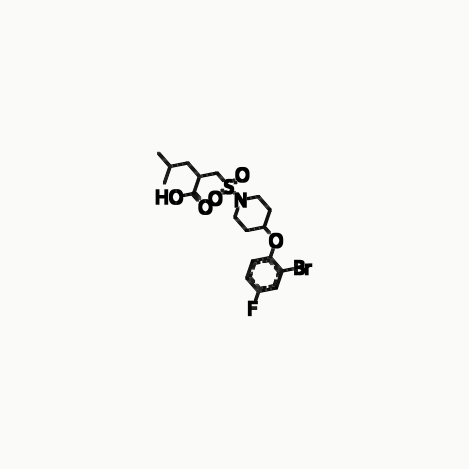 CC(C)CC(CS(=O)(=O)N1CCC(Oc2ccc(F)cc2Br)CC1)C(=O)O